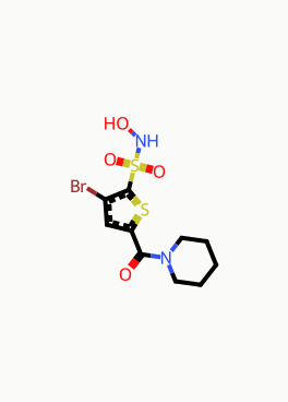 O=C(c1cc(Br)c(S(=O)(=O)NO)s1)N1CCCCC1